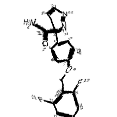 NC(=O)C1(c2ccc(OCc3c(F)cccc3F)cc2)C=CN=N1